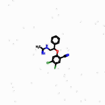 CC(=N)NCC(Oc1cc(Cl)c(F)cc1C#N)c1ccccc1